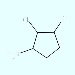 BC1CCC(Cl)C1Cl